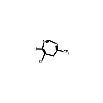 FC(F)(F)C1=NC=NC(Cl)=C(Cl)C1